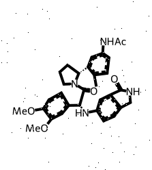 COc1ccc([C@@H](Nc2ccc3c(c2)C(=O)NC3)C(=O)N2CCC[C@@H]2c2cc(NC(C)=O)ccc2C)cc1OC